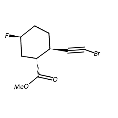 COC(=O)[C@@H]1C[C@@H](F)CC[C@H]1C#CBr